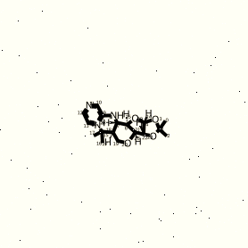 CC1(C)O[C@H]2O[C@@H]3[C@H]4Nc5cncc[n+]5C(C)(C)[C@@H]4CO[C@@H]3[C@H]2O1